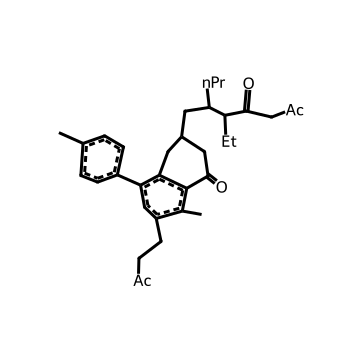 CCCC(CC1CC(=O)c2c(C)c(CCC(C)=O)cc(-c3ccc(C)cc3)c2C1)C(CC)C(=O)CC(C)=O